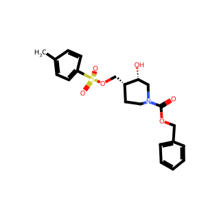 Cc1ccc(S(=O)(=O)OC[C@H]2CCN(C(=O)OCc3ccccc3)C[C@H]2O)cc1